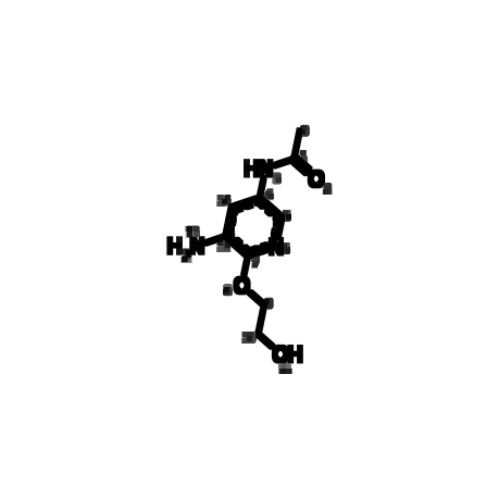 CC(=O)Nc1cnc(OCCO)c(N)c1